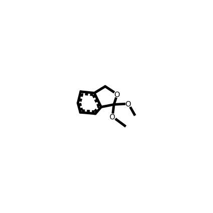 COC1(OC)OCc2ccccc21